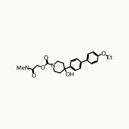 CCOc1ccc(-c2ccc(C3(O)CCN(C(=O)OCC(=O)NC)CC3)cc2)cc1